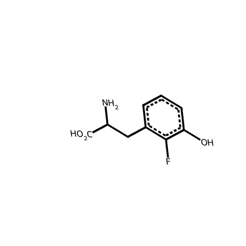 NC(Cc1cccc(O)c1F)C(=O)O